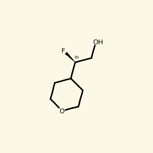 OC[C@H](F)C1CCOCC1